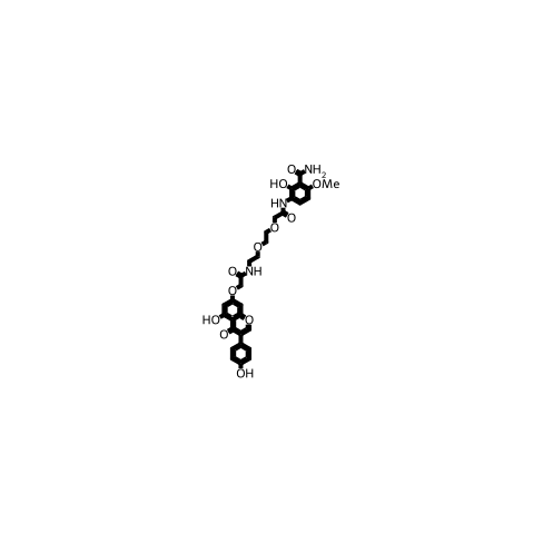 COc1ccc(NC(=O)COCCOCCNC(=O)COc2cc(O)c3c(=O)c(-c4ccc(O)cc4)coc3c2)c(O)c1C(N)=O